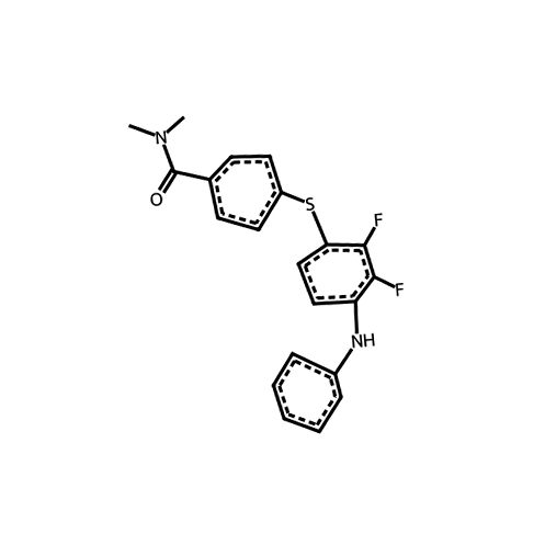 CN(C)C(=O)c1ccc(Sc2ccc(Nc3ccccc3)c(F)c2F)cc1